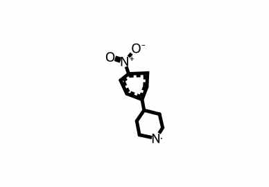 O=[N+]([O-])c1ccc(C2CC[N]CC2)cc1